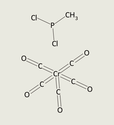 CP(Cl)Cl.O=[C]=[Cr](=[C]=O)(=[C]=O)(=[C]=O)=[C]=O